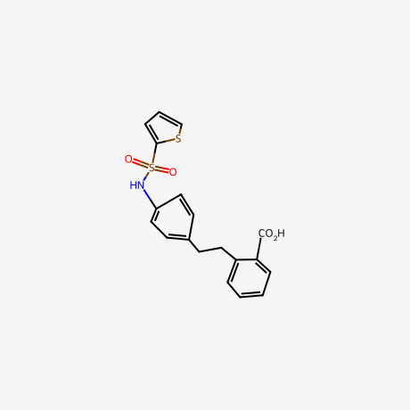 O=C(O)c1ccccc1CCc1ccc(NS(=O)(=O)c2cccs2)cc1